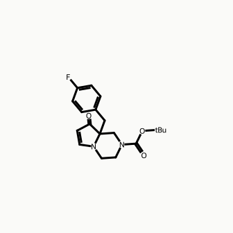 CC(C)(C)OC(=O)N1CCN2C=CC(=O)C2(Cc2ccc(F)cc2)C1